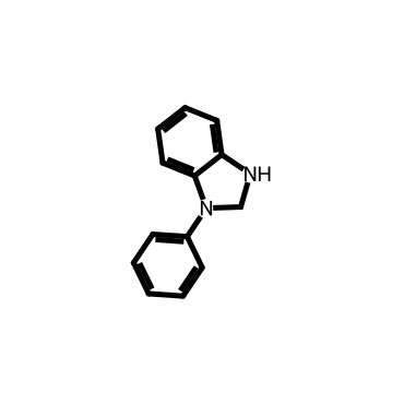 c1ccc(N2CNc3ccccc32)cc1